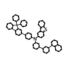 c1ccc(C2(c3ccccc3)c3ccccc3-c3ccc(-c4ccc(N(c5cccc(-c6cccc(-c7cccc8ccccc78)c6)c5)c5ccc6sc7ccccc7c6c5)cc4)cc32)cc1